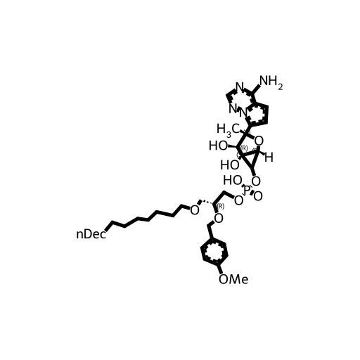 CCCCCCCCCCCCCCCCCOC[C@H](COP(=O)(O)OC1[C@H]2O[C@@](C)(c3ccc4c(N)ncnn34)[C@H](O)[C@@]12O)OCc1ccc(OC)cc1